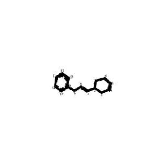 C(=CC1CCCCC1)Cc1ccccc1